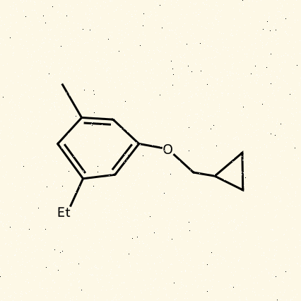 CCc1cc(C)cc(OCC2CC2)c1